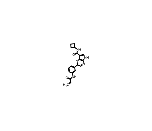 C=CC(=O)Nc1cccc(-c2cnc3[nH]cc(C(=O)NC4CCC4)c3n2)c1